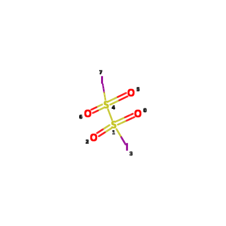 O=S(=O)(I)S(=O)(=O)I